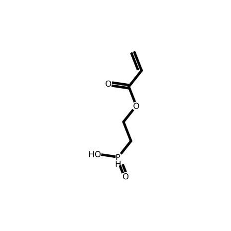 C=CC(=O)OCC[PH](=O)O